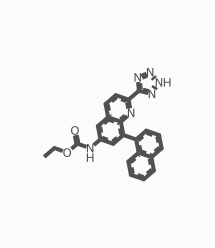 CCOC(=O)Nc1cc(-c2cccc3ccccc23)c2nc(-c3nn[nH]n3)ccc2c1